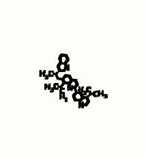 CC(C)c1ccnc2ccc(-c3ccc4ccc(CC(C)c5cnc6ccccc6c5)c(C(C)C)c4n3)cc12